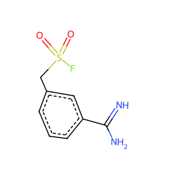 N=C(N)c1cccc(CS(=O)(=O)F)c1